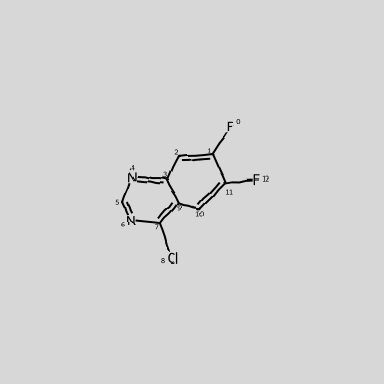 Fc1cc2ncnc(Cl)c2cc1F